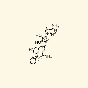 Nc1ncnc2c1ncn2[C@@H]1O[C@H](CN(CCC(N)C(=O)O)CC2CNCC(CC3CCCCC3)C2)[C@@H](O)[C@H]1O